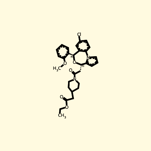 CCOC(=O)CC1CCN(C(=O)C[C@@H]2O[C@@H](c3ccccc3OC)c3cc(Cl)ccc3-n3cccc32)CC1